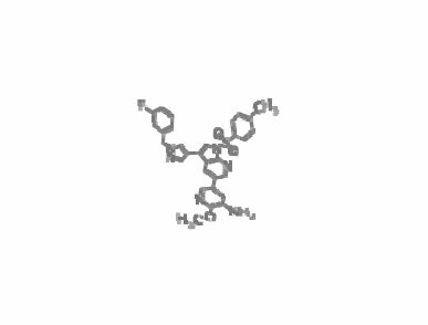 COc1ncc(-c2cnc3c(c2)c(-c2cnn(Cc4cccc(F)c4)c2)cn3S(=O)(=O)c2ccc(C)cc2)cc1N